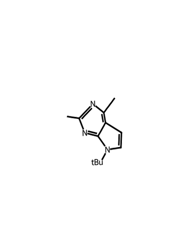 Cc1nc(C)c2ccn(C(C)(C)C)c2n1